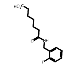 O=C(O)CCCCCC(=O)NCc1ccccc1F